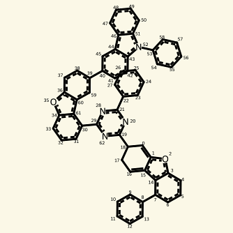 C1=c2oc3cccc(-c4ccccc4)c3c2=CCC1c1nc(-c2ccccc2)nc(-c2cccc3oc4ccc(-c5ccc6c(c5)c5ccccc5n6-c5ccccc5)cc4c23)n1